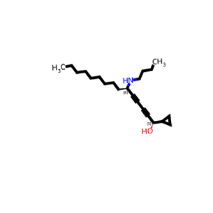 CCCCCCCCC[C@H](C#CC#C[C@@H](O)C1CC1)NCCCC